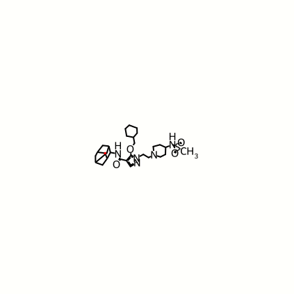 CS(=O)(=O)NC1CCN(CCn2ncc(C(=O)NC3C4CC5CC(C4)CC3C5)c2OCC2CCCCC2)CC1